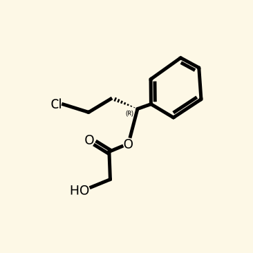 O=C(CO)O[C@H](CCCl)c1ccccc1